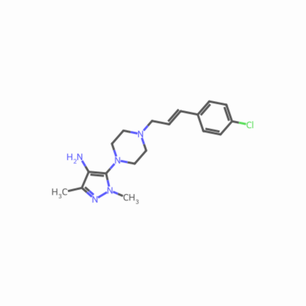 Cc1nn(C)c(N2CCN(C/C=C/c3ccc(Cl)cc3)CC2)c1N